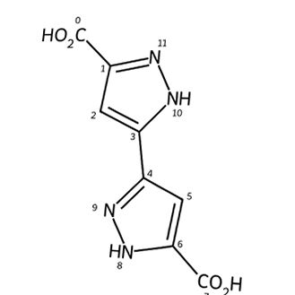 O=C(O)c1cc(-c2cc(C(=O)O)[nH]n2)[nH]n1